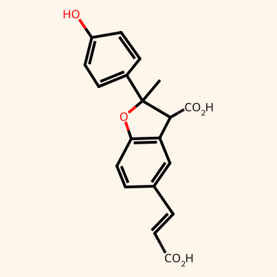 CC1(c2ccc(O)cc2)Oc2ccc(C=CC(=O)O)cc2C1C(=O)O